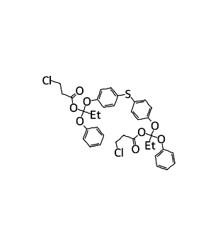 CCC(OC(=O)CCCl)(Oc1ccccc1)Oc1ccc(Sc2ccc(OC(CC)(OC(=O)CCCl)Oc3ccccc3)cc2)cc1